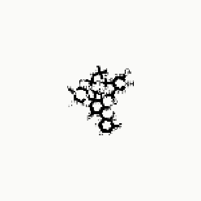 C[C@@H]1CN(C2(C(=O)NC(C)(C)CC(C)(C)C)C=C(F)C(c3cccc(F)c3F)=C(F)C2NC(=O)c2c[nH]c(=O)cc2C(F)(F)F)C[C@H](C)N1C